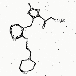 CCOC(=O)CC(=O)c1nn(C)cc1Cc1cccnc1OCCN1CCOCC1